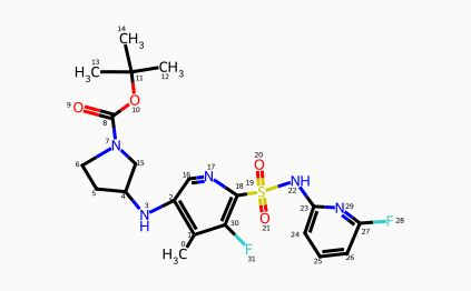 Cc1c(NC2CCN(C(=O)OC(C)(C)C)C2)cnc(S(=O)(=O)Nc2cccc(F)n2)c1F